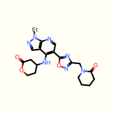 CCn1ncc2c(NC3CCOC(=O)C3)c(-c3nc(CN4CCCCC4=O)no3)cnc21